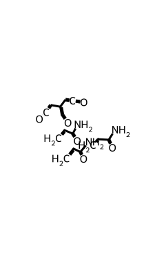 C=CC(N)=O.C=CC(N)=O.C=CC(N)=O.O=C=CC(=C=O)C=C=O